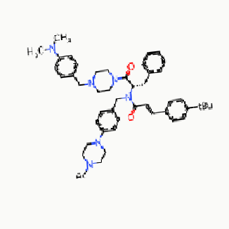 CC(=O)N1CCN(c2ccc(CN(C(=O)/C=C/c3ccc(C(C)(C)C)cc3)[C@@H](Cc3ccccc3)C(=O)N3CCN(Cc4ccc(N(C)C)cc4)CC3)cc2)CC1